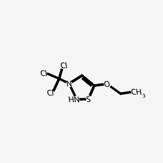 CCOC1=CN(C(Cl)(Cl)Cl)NS1